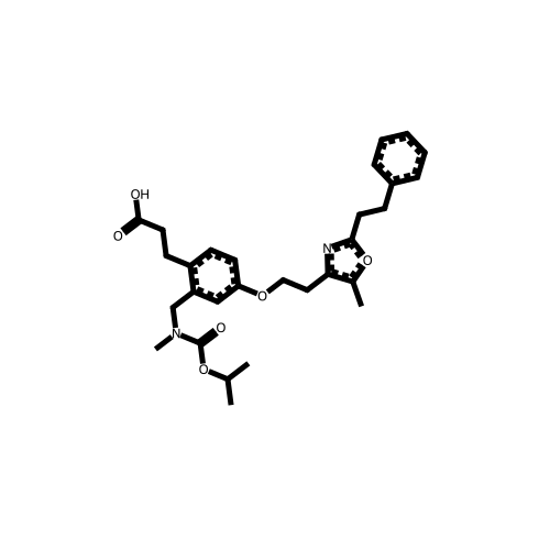 Cc1oc(CCc2ccccc2)nc1CCOc1ccc(CCC(=O)O)c(CN(C)C(=O)OC(C)C)c1